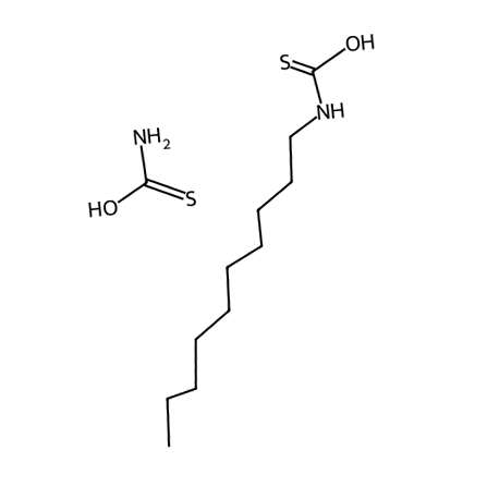 CCCCCCCCCCNC(O)=S.NC(O)=S